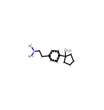 CC(C)N(CCc1ccc(C2(C(=O)O)CCCC2)cc1)C(C)C